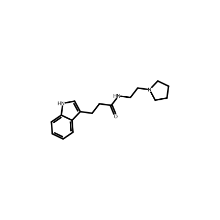 O=C(CCc1c[nH]c2ccccc12)NCCN1CCCC1